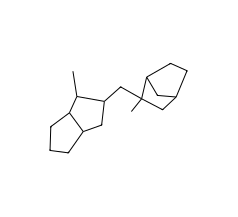 CC1C(CC2(C)CC3CCC2C3)CC2CCCC21